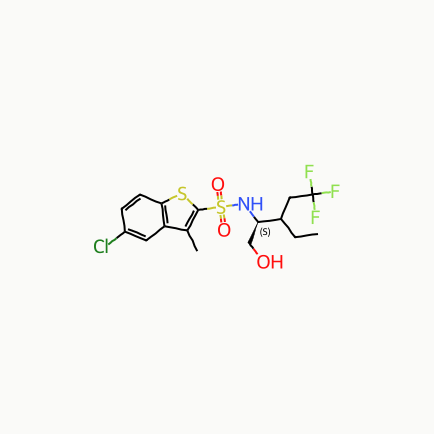 CCC(CC(F)(F)F)[C@@H](CO)NS(=O)(=O)c1sc2ccc(Cl)cc2c1C